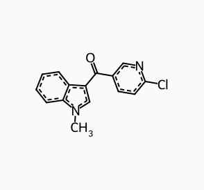 Cn1cc(C(=O)c2ccc(Cl)nc2)c2ccccc21